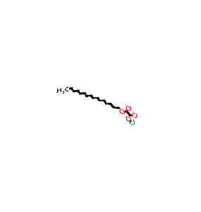 CCCCCCCCCCCCCCCCOC(=O)C(=O)OCl